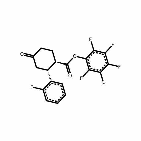 O=C1CC[C@@H](C(=O)Oc2c(F)c(F)c(F)c(F)c2F)[C@H](c2ccccc2F)C1